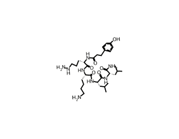 CC(C)C[C@H](NC(=O)[C@H](CC(C)C)NC(=O)[C@H](CCCCN)NC(=O)[C@H](CCCNN)NC(=O)CCc1ccc(O)cc1)C(N)=O